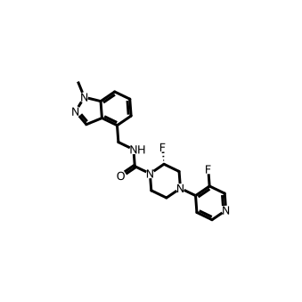 Cn1ncc2c(CNC(=O)N3CCN(c4ccncc4F)C[C@H]3F)cccc21